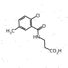 Cc1ccc(Cl)c(C(=O)NCCC(=O)O)c1